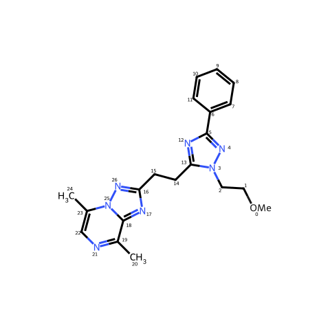 COCCn1nc(-c2ccccc2)nc1CCc1nc2c(C)ncc(C)n2n1